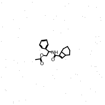 CC(=O)OCC(NC(=O)C1=CC2CCCCC12)c1ccccc1